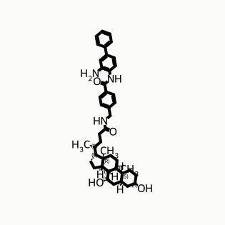 C[C@H](CCC(=O)NCc1ccc(C(=O)Nc2ccc(-c3ccccc3)cc2N)cc1)[C@H]1CC[C@H]2[C@@H]3[C@@H](O)C[C@@H]4C[C@H](O)CC[C@]4(C)[C@H]3CC[C@]12C